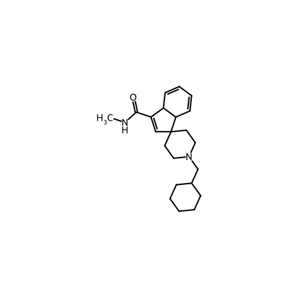 CNC(=O)C1=CC2(CCN(CC3CCCCC3)CC2)C2C=CC=CC12